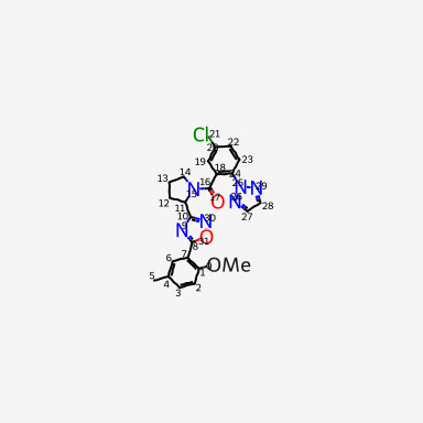 COc1ccc(C)cc1-c1nc(C2CCCN2C(=O)c2cc(Cl)ccc2-n2nccn2)no1